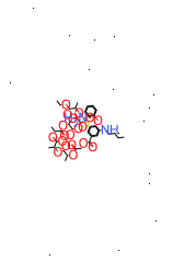 CCCCNc1cc(C(=O)OCC(=O)OC(C)C(=O)OC(C)C(=O)OC(C)C(=O)OC(C)C(=O)OC(C)C(=O)OC(C)C(=O)OCC)cc(S(N)(=O)=O)c1Oc1ccccc1